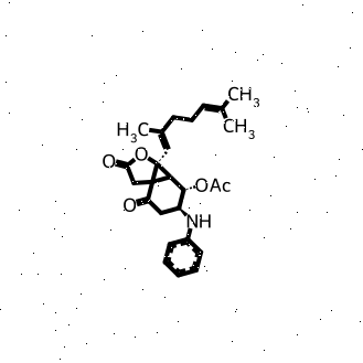 CC(=O)O[C@H]1C2C3(CC(=O)O[C@@]23/C=C(\C)CCC=C(C)C)C(=O)C[C@@H]1Nc1ccccc1